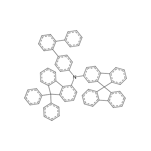 c1ccc(-c2ccccc2-c2ccc(N(c3ccc4c(c3)C3(c5ccccc5-c5ccccc53)c3ccccc3-4)c3cccc4c3-c3ccccc3C4(c3ccccc3)c3ccccc3)cc2)cc1